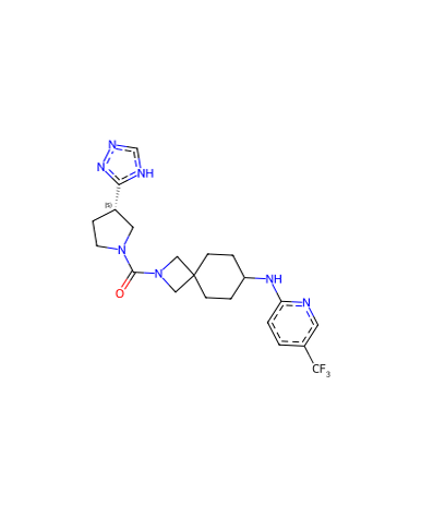 O=C(N1CC[C@H](c2nnc[nH]2)C1)N1CC2(CCC(Nc3ccc(C(F)(F)F)cn3)CC2)C1